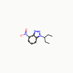 CCC(CC)n1nnc2c([N+](=O)[O-])cccc21